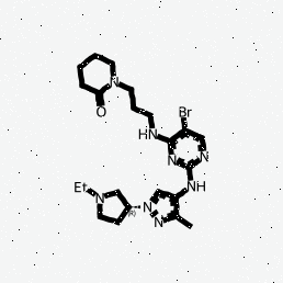 CCN1CC[C@@H](n2cc(Nc3ncc(Br)c(NCCCN4CCCCC4=O)n3)c(C)n2)C1